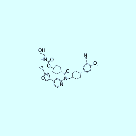 COc1ccc([C@H]2CC[C@H](CN(c3cc(-c4coc(C5CC5)n4)ccn3)C(=O)[C@H]3CC[C@H](OC(=O)NCCO)CC3)CC2)cc1C#N